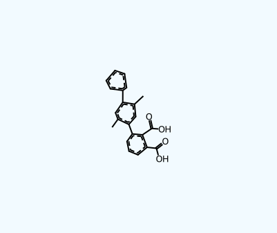 Cc1cc(-c2cccc(C(=O)O)c2C(=O)O)c(C)cc1-c1ccccc1